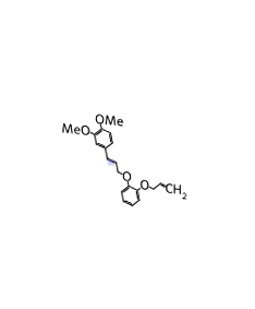 C=CCOc1ccccc1OC/C=C/c1ccc(OC)c(OC)c1